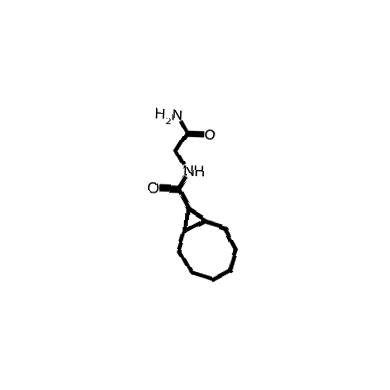 NC(=O)CNC(=O)C1C2CCCCCCC21